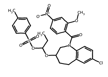 CCC(OC1CCc2cc(Cl)ccc2N(C(=O)c2ccc([N+](=O)[O-])cc2OC)C1)OS(=O)(=O)c1ccc(C)cc1